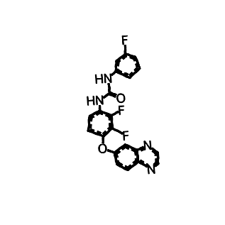 O=C(Nc1cccc(F)c1)Nc1ccc(Oc2ccc3nccnc3c2)c(F)c1F